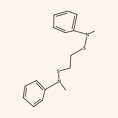 CN(SCCSN(C)c1ccccc1)c1ccccc1